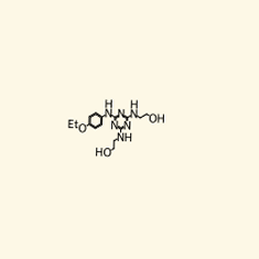 CCOc1ccc(Nc2nc(NCCO)nc(NCCO)n2)cc1